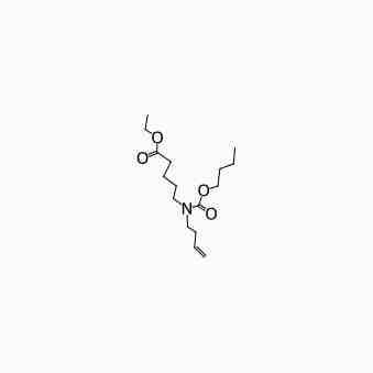 C=CCCN(CCCCC(=O)OCC)C(=O)OCCCC